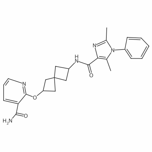 Cc1nc(C(=O)NC2CC3(C2)CC(Oc2ncccc2C(N)=O)C3)c(C)n1-c1ccccc1